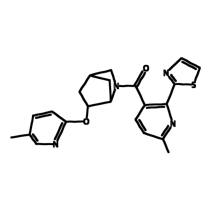 Cc1ccc(OC2CC3CC2N(C(=O)c2ccc(C)nc2-c2nccs2)C3)nc1